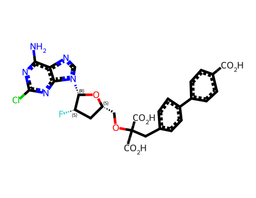 Nc1nc(Cl)nc2c1ncn2[C@@H]1O[C@H](COC(Cc2ccc(-c3ccc(C(=O)O)cc3)cc2)(C(=O)O)C(=O)O)C[C@@H]1F